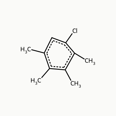 Cc1cc(Cl)c(C)c(C)c1C